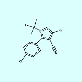 N#Cc1c(Br)cn(C(F)(F)F)c1-c1ccc(Cl)cc1